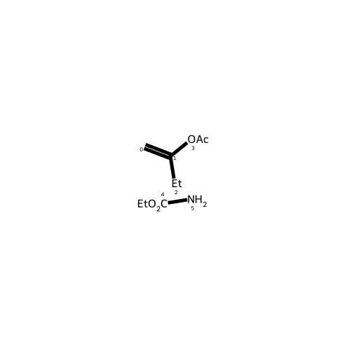 C=C(CC)OC(C)=O.CCOC(N)=O